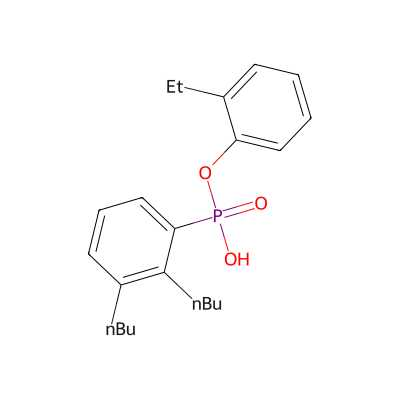 CCCCc1cccc(P(=O)(O)Oc2ccccc2CC)c1CCCC